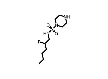 CCCCC(F)CNS(=O)(=O)N1CCNCC1